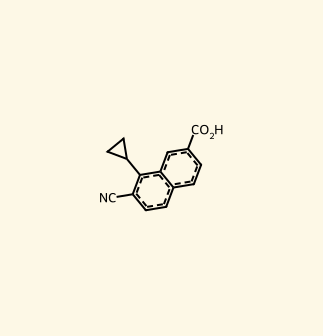 N#Cc1ccc2ccc(C(=O)O)cc2c1C1CC1